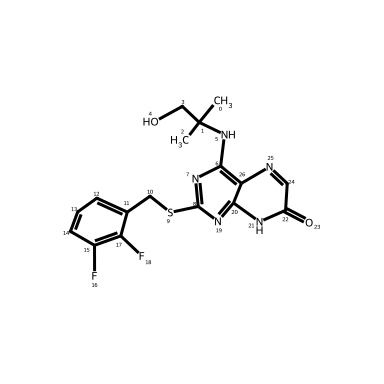 CC(C)(CO)Nc1nc(SCc2cccc(F)c2F)nc2[nH]c(=O)cnc12